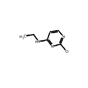 CCNc1ccnc(Cl)n1